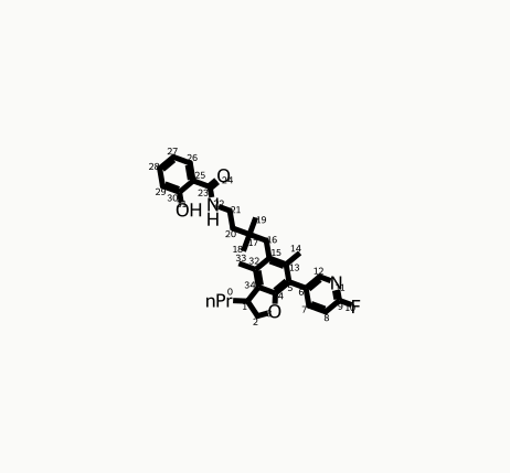 CCCC1COc2c(-c3ccc(F)nc3)c(C)c(CC(C)(C)CCNC(=O)c3ccccc3O)c(C)c21